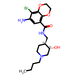 CCCCN1CC[C@@H](CNC(=O)c2cc(N)c(Br)c3c2OCCO3)[C@H](O)C1